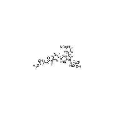 CN(C)C/C=C/C(=O)Nc1cncc(-c2cnc3c(c2)c(-c2ccnc(C#N)c2)cn3COP(=O)(O)O)c1